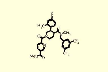 COC(=O)c1ccc(C(=O)N2CCC(C(=O)N(C)Cc3cc(C(F)(F)F)cc(C(F)(F)F)c3)C(c3ccc(F)cc3C)C2)nc1